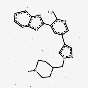 CN1CCC(Cn2cc(-c3cnc(N)c(-c4nc5ccccc5o4)c3)cn2)CC1